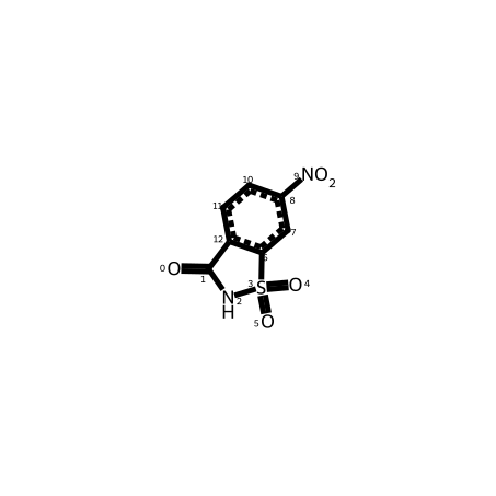 O=C1NS(=O)(=O)c2cc([N+](=O)[O-])ccc21